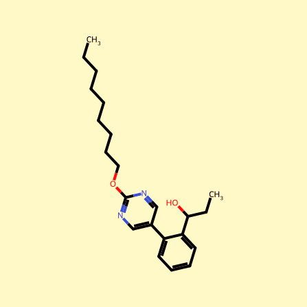 CCCCCCCCCOc1ncc(-c2ccccc2C(O)CC)cn1